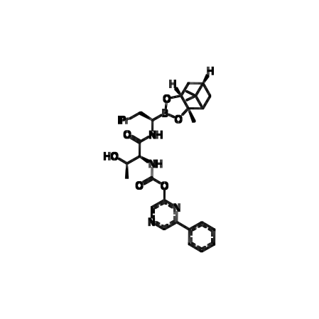 CC(C)C[C@H](NC(=O)[C@@H](NC(=O)Oc1cncc(-c2ccccc2)n1)[C@@H](C)O)B1O[C@@H]2C[C@@H]3CC(C3(C)C)[C@]2(C)O1